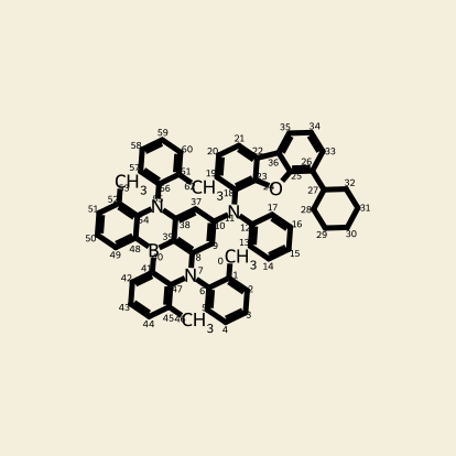 Cc1ccccc1N1c2cc(N(c3ccccc3)c3cccc4c3oc3c(C5CCCCC5)cccc34)cc3c2B(c2cccc(C)c21)c1cccc(C)c1N3c1ccccc1C